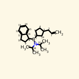 C=CCC1CCC(B(C2CCc3ccccc32)N(C(C)C)C(C)C)C1